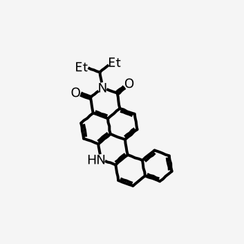 CCC(CC)n1c(=O)c2ccc3[nH]c4ccc5ccccc5c4c4ccc(c1=O)c2c34